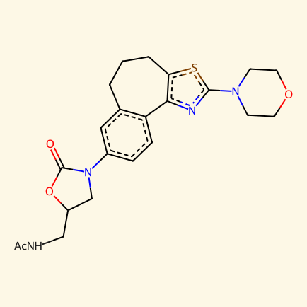 CC(=O)NCC1CN(c2ccc3c(c2)CCCc2sc(N4CCOCC4)nc2-3)C(=O)O1